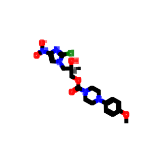 COc1ccc(N2CCN(C(=O)OC[C@](C)(O)Cn3cc([N+](=O)[O-])nc3Cl)CC2)cc1